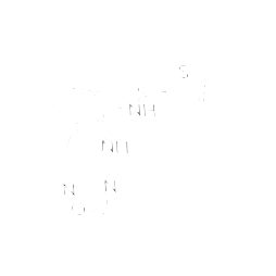 c1csc(SNc2cccc3cc(-c4ncon4)[nH]c23)c1